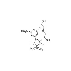 C[PH](C)(C)C.O=C(O)c1cc(C(=O)O)cc(S(=O)(=O)O)c1.OCCOCCO